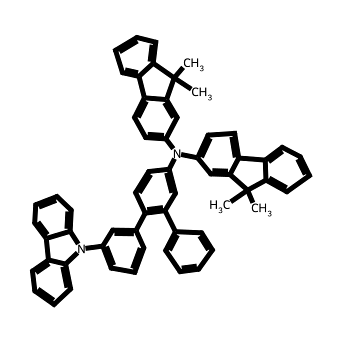 CC1(C)c2ccccc2-c2ccc(N(c3ccc(-c4cccc(-n5c6ccccc6c6ccccc65)c4)c(-c4ccccc4)c3)c3ccc4c(c3)C(C)(C)c3ccccc3-4)cc21